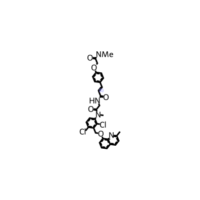 CNC(=O)COc1ccc(/C=C/C(=O)NCC(=O)N(C)c2ccc(Cl)c(COc3cccc4ccc(C)nc34)c2Cl)cc1